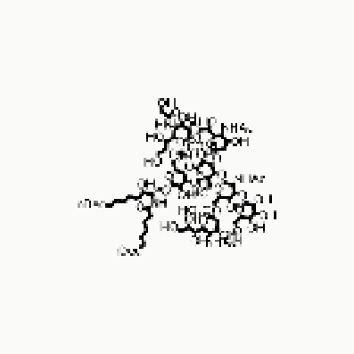 CCCCCCCCCCCCC/C=C/[C@@H](O)[C@H](CO[C@@H]1OC(CO)[C@@H](O[C@@H]2OC(CO)[C@H](O[C@@H]3OC(CO[C@]4(C(=O)O)CC(O)[C@@H](NC(C)=O)C([C@H](O)[C@H](O)CO)O4)[C@H](O)[C@H](O[C@@H]4OC(CO)[C@H](O)[C@H](O)C4O)C3NC(C)=O)[C@H](O[C@]3(C(=O)O)CC(O)[C@@H](NC(C)=O)C([C@H](O)[C@@H](CO)O[C@]4(C(=O)O)CC(O)[C@@H](NC(=O)CO)C([C@H](O)[C@H](O)CO)O4)O3)C2O)[C@H](O)C1O)NC(=O)CCCCCCCCCCCCCCC